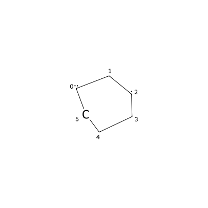 [C]1C[CH]CCC1